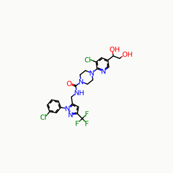 O=C(NCc1cc(C(F)(F)F)nn1-c1cccc(Cl)c1)N1CCN(c2ncc(C(O)CO)cc2Cl)CC1